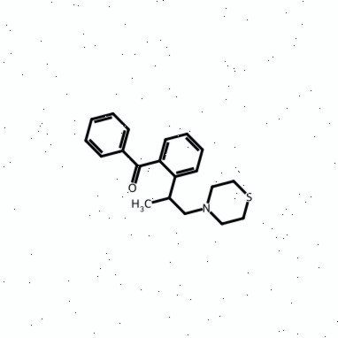 CC(CN1CCSCC1)c1ccccc1C(=O)c1ccccc1